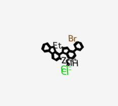 CCC1=Cc2c(-c3cccc(Br)c3)cccc2C1c1[c]([Zr+2][SiH](C)C)ccc2c1Cc1ccccc1-2.[Cl-].[Cl-]